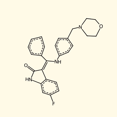 O=C1Nc2cc(F)ccc2C1=C(Nc1ccc(CN2CCOCC2)cc1)c1ccccc1